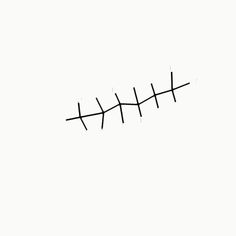 CCC(C(=O)O)(C(=O)O)C(F)(F)C(F)(F)C(F)(F)C(F)(F)C(F)(F)C(F)(F)F